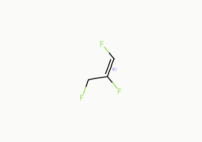 F/C=C(/F)CF